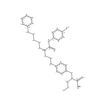 CCOC(Cc1ccc(OCCN(CCCCOc2ccccc2)C(=O)Oc2ccc(F)cc2)cc1)C(=O)O